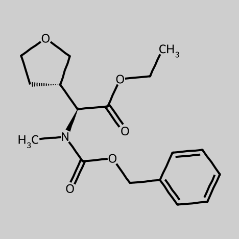 CCOC(=O)[C@H]([C@@H]1CCOC1)N(C)C(=O)OCc1ccccc1